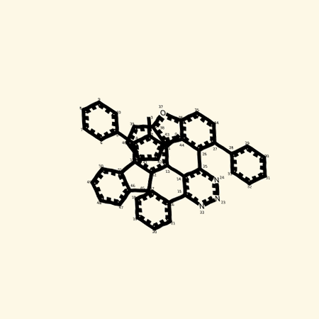 Cc1c(C)c(-c2ccccc2)c2c(c1-c1c(-c3ccccc3)nnnc1-c1c(-c3ccccc3)ccc3oc4ccccc4c13)Cc1ccccc1-2